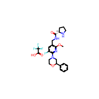 COc1nc(N2CCOC(c3ccccc3)C2)c(F)cc1CNC(=O)[C@@H]1CCCN1.O=C(O)C(F)(F)F